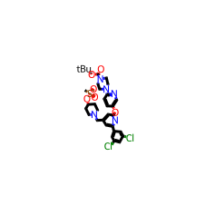 CC(C)(C)OC(=O)N1CCN(c2ccc(Oc3cc(CN4CCC(OS(C)(=O)=O)CC4)cc(-c4cc(Cl)cc(Cl)c4)n3)cn2)CC1